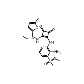 CC[C@@H](Nc1c(Nc2cccc(S(C)(=O)=NC)c2N)c(=O)c1=O)c1ccc(C)o1